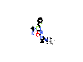 CN(C)C1CN(C(=O)N[C@@H](CC(F)(F)Cc2ccccc2)C(=O)NC2(C#N)CC2)CC12CC2